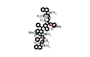 C=C(C)CC1(C)/C(=C\C=C\C2=[N+](C)c3cc(C(c4ccccc4)c4cc5c(c6ccccc46)C(CCC(=O)OC)(Cc4ccccc4)C(/C=C/C=C4/N(C)c6ccc7ccccc7c6C4(C)CC(=C)C)=[N+]5C)c4ccccc4c3C2(CCC(=O)OC)Cc2ccccc2)N(C)c2ccc3ccccc3c21